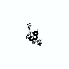 CC(C)(C)[S+]([O-])NC(Cc1cc(F)cc(F)c1)c1nc2c(cc1Br)ncn2COCC[Si](C)(C)C